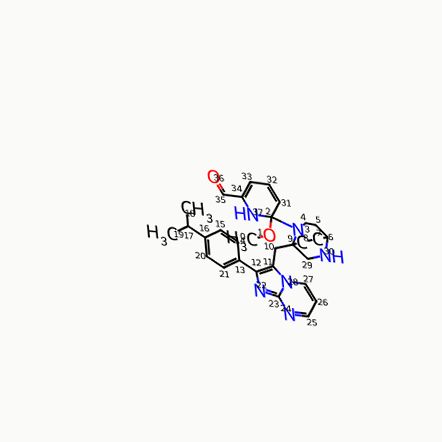 COC1(N2CCC3CCC2(Cc2c(-c4ccc(C(C)C)cc4)nc4ncccn24)CN3)C=CC=C(C=O)N1